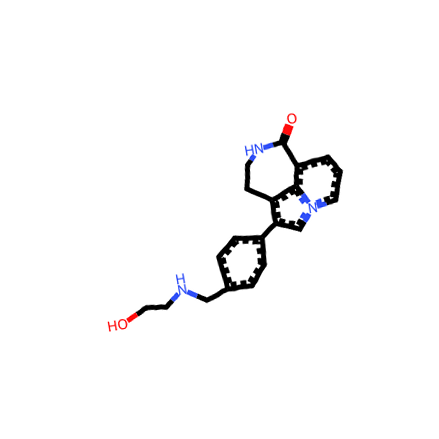 O=C1NCCc2c(-c3ccc(CNCCO)cc3)cn3cccc1c23